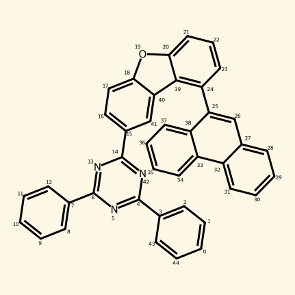 c1ccc(-c2nc(-c3ccccc3)nc(-c3ccc4oc5cccc(-c6cc7ccccc7c7ccccc67)c5c4c3)n2)cc1